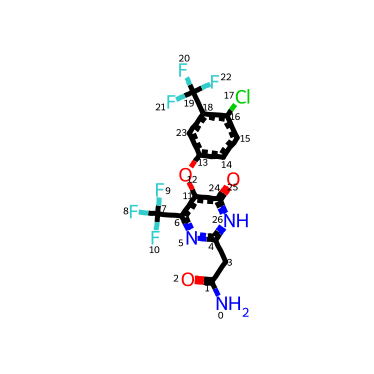 NC(=O)Cc1nc(C(F)(F)F)c(Oc2ccc(Cl)c(C(F)(F)F)c2)c(=O)[nH]1